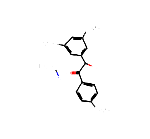 COc1ccc(C(=O)C(O)c2cc(OC)cc(OC)c2)cc1.NC(=O)O